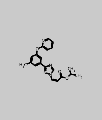 Cc1cc(Oc2ccccn2)cc(-c2ncn(/C=C\C(=O)OC(C)C)n2)c1